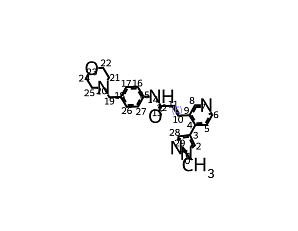 Cn1cc(-c2ccncc2/C=C/C(=O)Nc2ccc(CN3CCOCC3)cc2)cn1